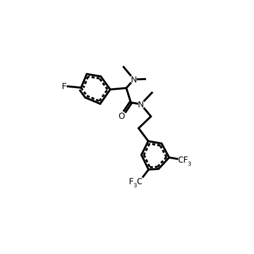 CN(CCc1cc(C(F)(F)F)cc(C(F)(F)F)c1)C(=O)C(c1ccc(F)cc1)N(C)C